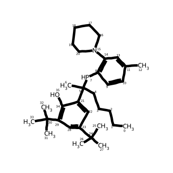 CCCCCC(C)(Pc1ccc(C)cc1N1CCCCC1)c1cc(C(C)(C)C)cc(C(C)(C)C)c1O